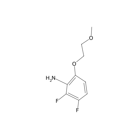 COCCOc1ccc(F)c(F)c1N